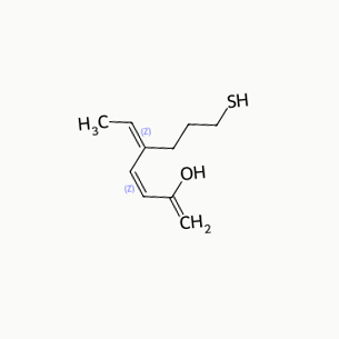 C=C(O)/C=C\C(=C/C)CCCS